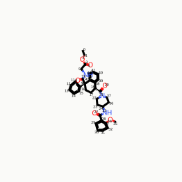 CCOC(=O)CNC(=O)[C@@]1(c2ccccc2)CC[C@H](C(=O)N2CCC(NC(=O)c3ccccc3OC)CC2)c2ccccc21